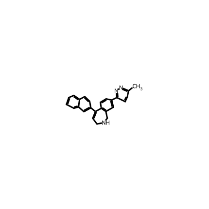 Cc1ccc(-c2ccc3c(c2)CNCC=C3c2ccc3ccccc3c2)nn1